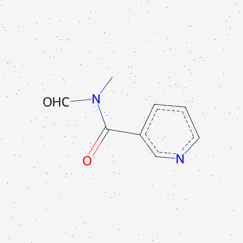 CN(C=O)C(=O)c1cccnc1